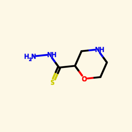 NNC(=S)C1CNCCO1